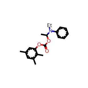 CCN(c1ccccc1)C(C)OC(=O)Oc1cc(C)cc(C)c1C